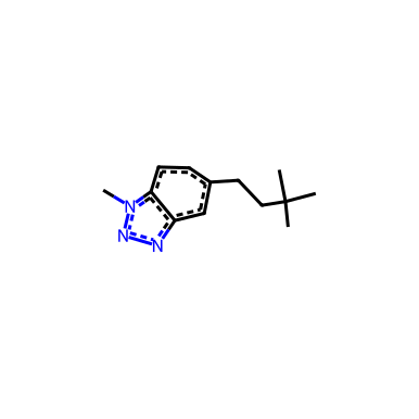 Cn1nnc2cc(CCC(C)(C)C)ccc21